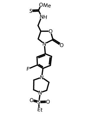 CCS(=O)(=O)N1CCN(c2ccc(N3CC(CNC(=S)OC)OC3=O)cc2F)CC1